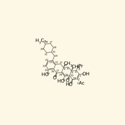 CC(=O)C1=C(O)C(C(C)C)[C@@]2(C)C[C@@]3(C)Cc4c(CC5CCC(C)CC5)ccc(O)c4C(=O)C3=C(O)[C@@]2(O)C1=O